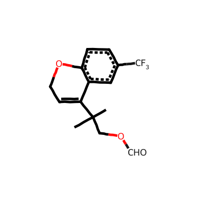 CC(C)(COC=O)C1=CCOc2ccc(C(F)(F)F)cc21